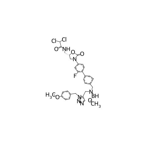 COBN(Cc1ccc(-c2ccc(N3C[C@H](CNC(=O)C(Cl)Cl)OC3=O)cc2F)cc1)Cc1cnnn1Cc1ccc(OC)cc1